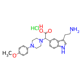 COc1ccc(N2CCN(C(C(=O)O)c3ccc4[nH]cc(CCN)c4c3)CC2)cc1.Cl